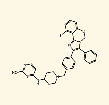 N#Cc1nccc(NC2CCN(Cc3ccc(-c4nc5n(c4-c4ccccc4)COc4cccc(F)c4-5)cc3)CC2)n1